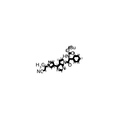 C[C@@H](CC#N)n1cc(-c2ncnc3c2ccn3C(=O)[C@@H](NC(=O)OC(C)(C)C)c2ccccc2)cn1